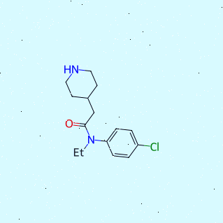 CCN(C(=O)CC1CCNCC1)c1ccc(Cl)cc1